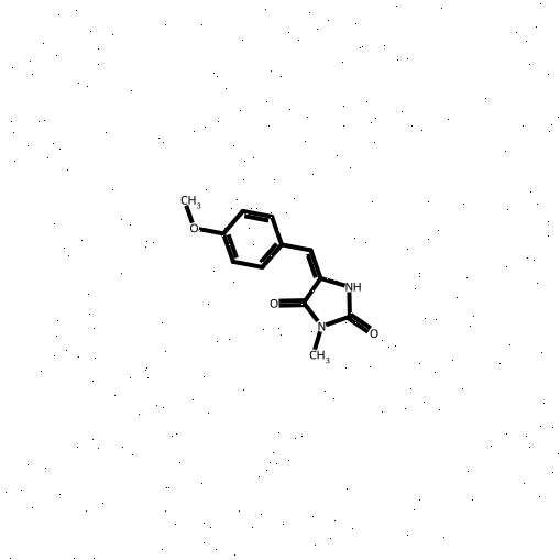 COc1ccc(C=C2NC(=O)N(C)C2=O)cc1